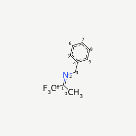 C/C(=N\Cc1ccccc1)C(F)(F)F